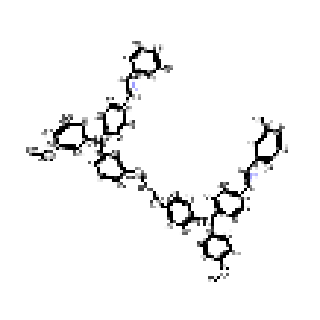 COc1ccc(N(c2ccc(/C=C/c3cccc(C)c3)cc2)c2ccc(OC)cc2)cc1.COc1cccc(N(c2ccc(/C=C/c3ccccc3)cc2)c2cccc(OC)c2)c1